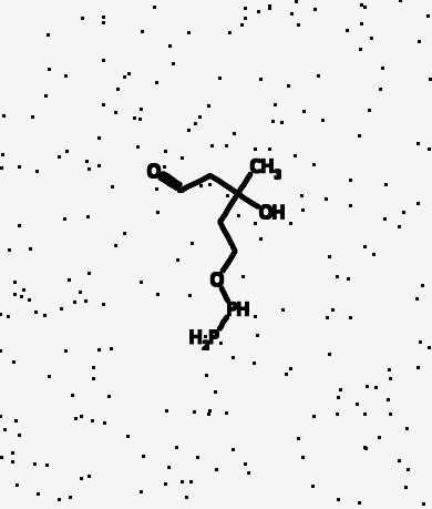 CC(O)(CC=O)CCOPP